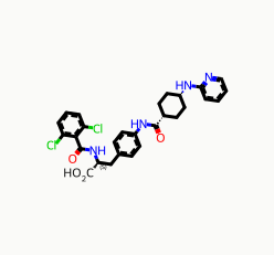 O=C(N[C@@H](Cc1ccc(NC(=O)[C@H]2CC[C@@H](Nc3ccccn3)CC2)cc1)C(=O)O)c1c(Cl)cccc1Cl